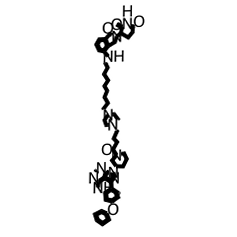 Nc1ncnc2c1c(-c1ccc(Oc3ccccc3)cc1)nn2C1CCCN(C(=O)CCCN2CCN(CCCCCCCCCNc3cccc4c3CN(C3CCC(=O)NC3=O)C4=O)CC2)C1